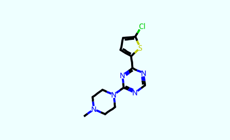 CN1CCN(c2ncnc(-c3ccc(Cl)s3)n2)CC1